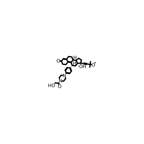 COC(C)(C)C#C[C@]1(O)CC[C@H]2[C@@H]3CCC4=CC(=O)CCC4=C3[C@@H](c3ccc(N4CCN(C(=O)CO)CC4)cc3)C[C@@]21C